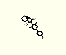 Cc1cc(-c2ccc(Cl)cc2)cc(C)c1C1=C(O)C2(CCCCC2)NC1=O